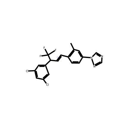 Cc1cc(-n2cncn2)ccc1/C=C/C(c1cc(Cl)cc(Cl)c1)C(F)(F)F